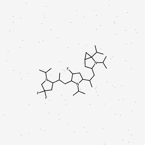 CC(CC1C(F)CC(C(C)CC2CC3CC3(C(C)C)N2C(C)C)N1C(C)C)C1CC(F)(F)CN1C(C)C